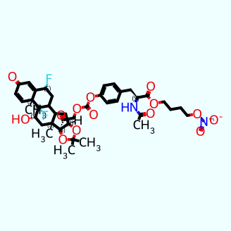 CC(=O)N[C@@H](Cc1ccc(OC(=O)OCC(=O)[C@@]23OC(C)(C)O[C@@H]2CC2C4C[C@H](F)C5=CC(=O)C=C[C@]5(C)[C@@]4(F)[C@@H](O)C[C@@]23C)cc1)C(=O)OCCCCO[N+](=O)[O-]